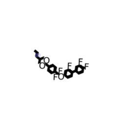 C/C=C/C1COC(c2ccc(C(F)(F)Oc3ccc(-c4ccc(F)c(F)c4)c(F)c3)cc2)OC1